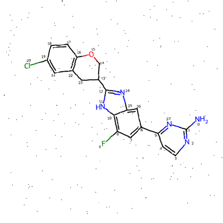 Nc1nccc(-c2cc(F)c3[nH]c(C4COc5ccc(Cl)cc5C4)nc3c2)n1